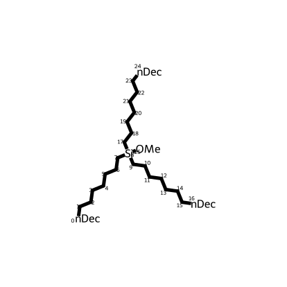 CCCCCCCCCCCCCCCCC[Si](CCCCCCCCCCCCCCCCC)(CCCCCCCCCCCCCCCCC)OC